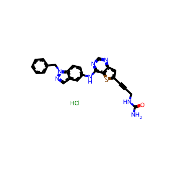 Cl.NC(=O)NCC#Cc1cc2ncnc(Nc3ccc4c(cnn4Cc4ccccc4)c3)c2s1